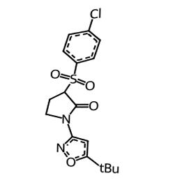 CC(C)(C)c1cc(N2CCC(S(=O)(=O)c3ccc(Cl)cc3)C2=O)no1